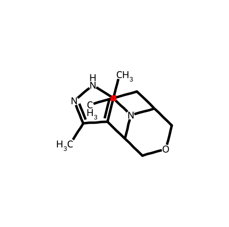 Cc1n[nH]c2c1C1COCC(C2)N1C(C)C